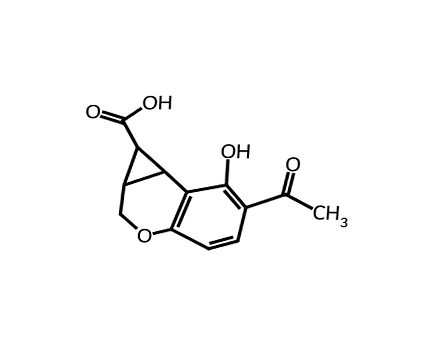 CC(=O)c1ccc2c(c1O)C1C(CO2)C1C(=O)O